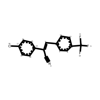 N#C/C(=C\c1ccc(C(F)(F)F)cc1)c1ccc(Cl)cc1